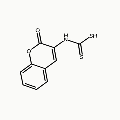 O=c1oc2ccccc2cc1NC(=S)S